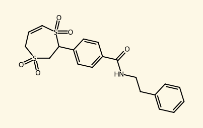 O=C(NCCc1ccccc1)c1ccc(C2CS(=O)(=O)CC=CS2(=O)=O)cc1